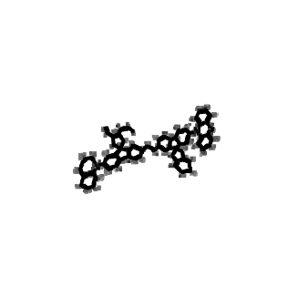 C=CC1=C(/C=C\C)CC2(C1)c1cc(/C=C/c3ccc4c(c3)C3(Cc5ccccc5C3)C3C=C(N5c6ccccc6Sc6ccccc65)C=CC43)ccc1-c1ccc(N3CCCC4=C3CCC=C4)cc12